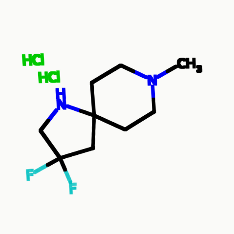 CN1CCC2(CC1)CC(F)(F)CN2.Cl.Cl